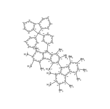 Bc1c(B)c(B)c2c(c1B)c1c(B)c(-n3c4c(B)c(B)c(B)c(B)c4c4c(B)c(B)c(B)c(B)c43)c(B)c(B)c1n2-c1cccc(C(c2ccccc2)(c2ccccc2)c2ccccc2)c1